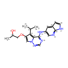 CC(O)COc1cn2ncnc(Nc3cnc4[nH]ccc4c3)c2c1C(C)C